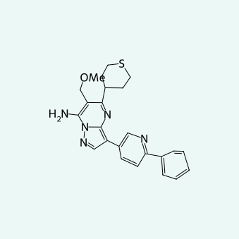 COCc1c(C2CCSCC2)nc2c(-c3ccc(-c4ccccc4)nc3)cnn2c1N